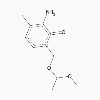 COC(C)OCn1ccc(C)c(N)c1=O